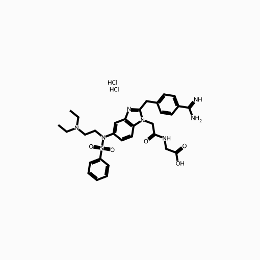 CCN(CC)CCN(c1ccc2c(c1)nc(Cc1ccc(C(=N)N)cc1)n2CC(=O)NCC(=O)O)S(=O)(=O)c1ccccc1.Cl.Cl